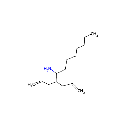 C=CCC(CC=C)C(N)CCCCCCC